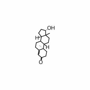 CC12CC[C@H]3C(CCC4=CC(=O)CC[C@@]43C)[C@@H]1CC[C@@H]2O